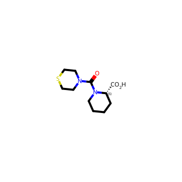 O=C(O)[C@@H]1CCCCN1C(=O)N1CCSCC1